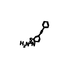 Nc1nc2ccc(C#Cc3ccccc3)cc2s1